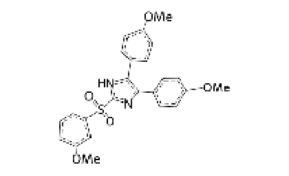 COc1ccc(-c2nc(S(=O)(=O)c3cccc(OC)c3)[nH]c2-c2ccc(OC)cc2)cc1